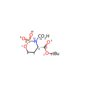 CC(C)(C)OC(=O)[C@@H]1CCOS(=O)(=O)N1C(=O)O